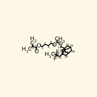 C=C(C)C(=O)OCCCCOC(C)OCC12CC3CC(C1)CC(CC(C)(F)F)(C3)C2